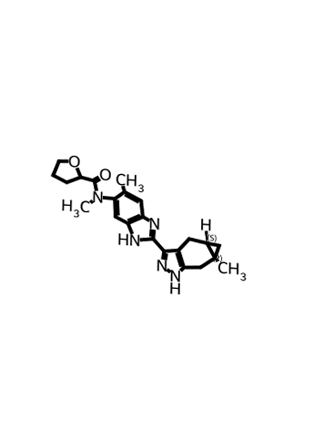 Cc1cc2nc(-c3n[nH]c4c3C[C@@H]3C[C@]3(C)C4)[nH]c2cc1N(C)C(=O)C1CCCO1